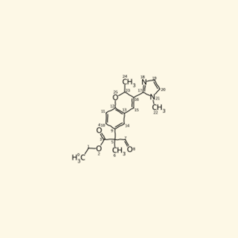 CCOC(=O)C(C)(C=O)c1ccc2c(c1)C=C(c1nccn1C)C(C)O2